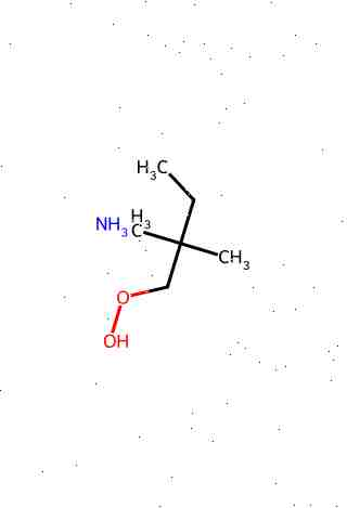 CCC(C)(C)COO.N